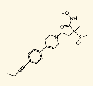 CCC#Cc1ccc(C2=CCN(CCC(C)(C(=O)NO)[S+](C)[O-])CC2)cc1